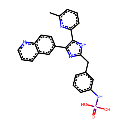 Cc1cccc(-c2[nH]c(Cc3cccc(NP(=O)(O)O)c3)nc2-c2ccc3ncccc3c2)n1